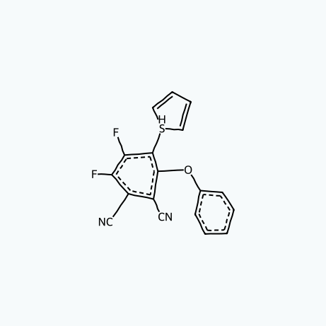 N#Cc1c(F)c(F)c([SH]2C=CC=C2)c(Oc2ccccc2)c1C#N